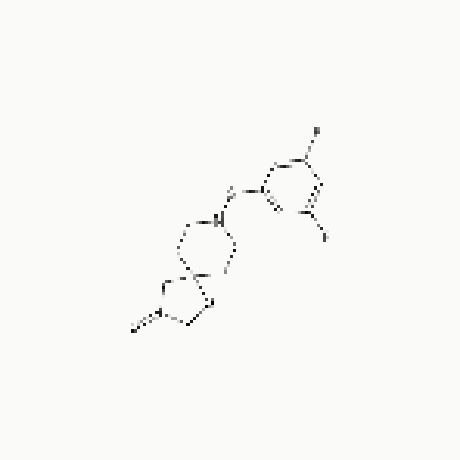 O=C1COC2(CCN(Sc3cc(F)cc(F)c3)CC2)C1